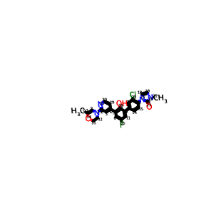 CC1=CN(c2cc(-c3cc(F)cc(-c4ccc(-n5ccn(C)c5=O)c(Cl)c4)c3O)ccn2)CCO1